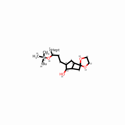 CCCCCCCC(CCC1CC2C(CC23OCCO3)C1O)O[Si](C)(C)C(C)(C)C